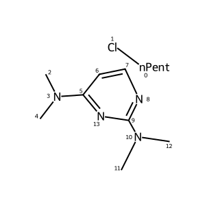 CCCCCCl.CN(C)c1ccnc(N(C)C)n1